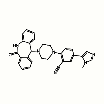 Cn1cncc1-c1ccc(N2CCN(C3c4ccccc4NC(=O)c4ccccc43)CC2)c(C#N)c1